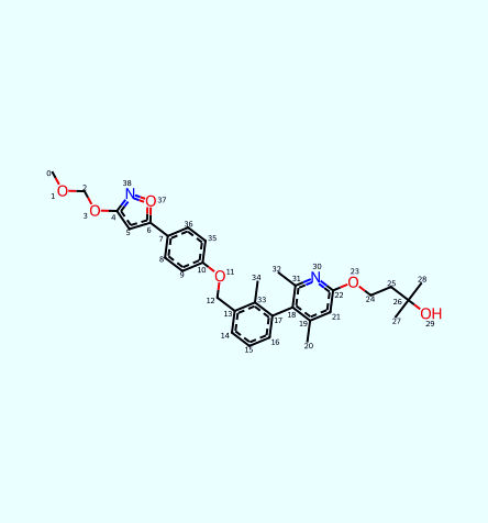 COCOc1cc(-c2ccc(OCc3cccc(-c4c(C)cc(OCCC(C)(C)O)nc4C)c3C)cc2)on1